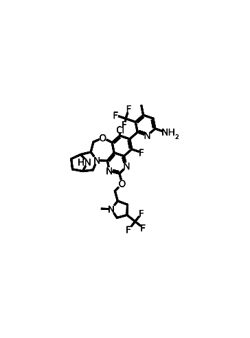 Cc1cc(N)nc(-c2c(Cl)c3c4c(nc(OCC5CC(C(F)(F)F)CN5C)nc4c2F)N2CC4CCC(N4)C2CO3)c1C(F)(F)F